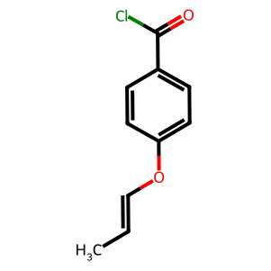 CC=COc1ccc(C(=O)Cl)cc1